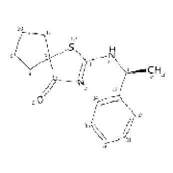 C[C@H](NC1=NC(=O)C2(CCCC2)S1)c1ccccc1